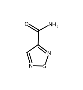 NC(=O)c1cnsn1